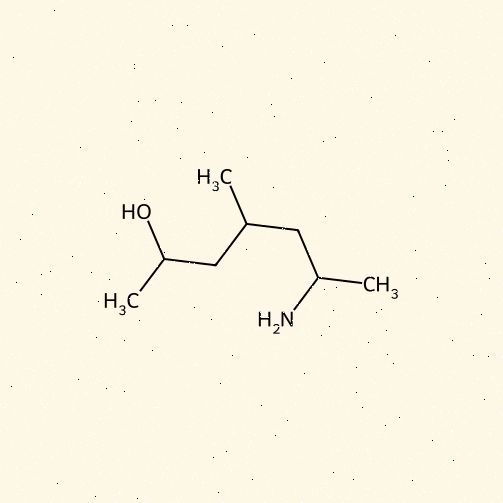 CC(N)CC(C)CC(C)O